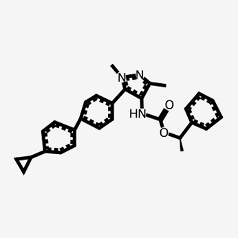 Cc1nn(C)c(-c2ccc(-c3ccc(C4CC4)cc3)cc2)c1NC(=O)O[C@H](C)c1ccccc1